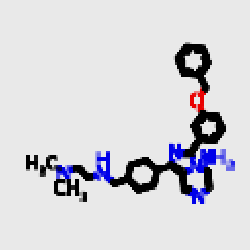 CN(C)CCNCC1CCC(C2=C3C=NC=C[N+]3(N)C(c3cccc(OCc4ccccc4)c3)=N2)CC1